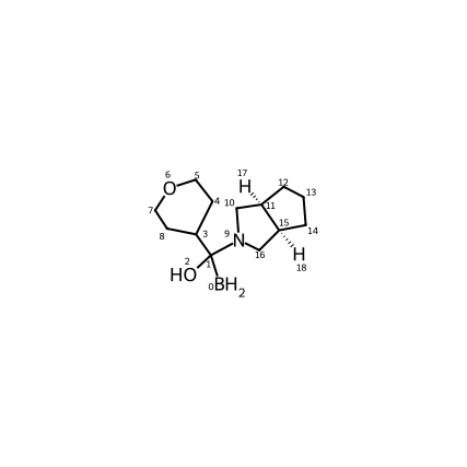 BC(O)(C1CCOCC1)N1C[C@H]2CCC[C@H]2C1